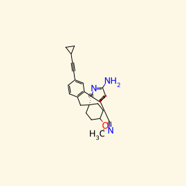 COC1CCC2(CC1)Cc1ccc(C#CC3CC3)cc1[C@]21N=C(N)c2ccc(C#N)cc21